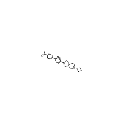 CC(=O)c1ccc(-c2ccc(N3CCC4(CC3)CCN(C3CCC3)CC4)nn2)cc1